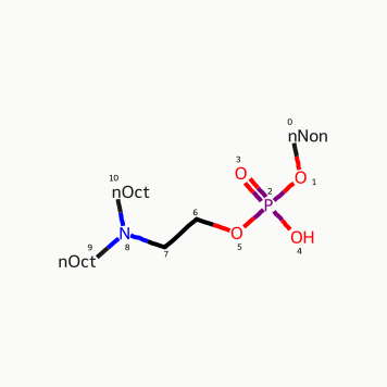 CCCCCCCCCOP(=O)(O)OCCN(CCCCCCCC)CCCCCCCC